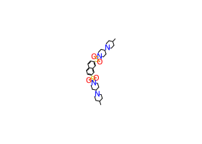 CC1CCN(C2CCN(S(=O)(=O)c3ccc4ccc(S(=O)(=O)N5CCC(N6CCC(C)CC6)CC5)cc4c3)CC2)CC1